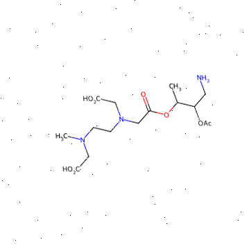 CC(=O)OC(CN)C(C)OC(=O)CN(CCN(C)CC(=O)O)CC(=O)O